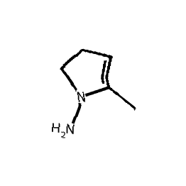 CC1=CCCN1N